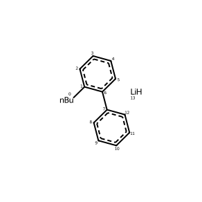 CCCCc1ccccc1-c1ccccc1.[LiH]